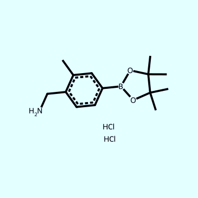 Cc1cc(B2OC(C)(C)C(C)(C)O2)ccc1CN.Cl.Cl